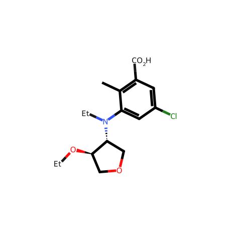 CCO[C@@H]1COC[C@H]1N(CC)c1cc(Cl)cc(C(=O)O)c1C